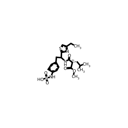 CCc1csc(C(Cc2ccc(NS(=O)(=O)O)cc2)NC(=O)[C@H](CC(C)C)C(=O)OC)n1